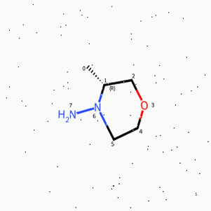 C[C@@H]1COCCN1N